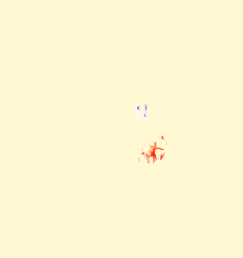 CCCCCCCCCCCCCCCCCCC1=C(P(=O)(OC)OC(C)O)OC(=O)C1.c1cscn1